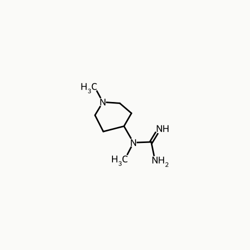 CN1CCC(N(C)C(=N)N)CC1